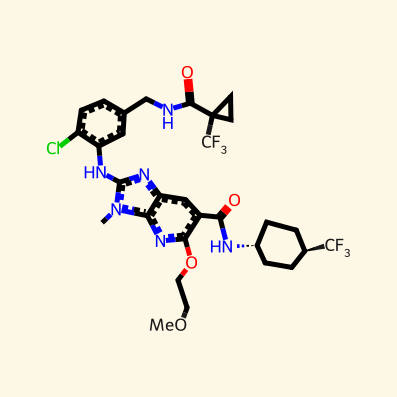 COCCOc1nc2c(cc1C(=O)N[C@H]1CC[C@H](C(F)(F)F)CC1)nc(Nc1cc(CNC(=O)C3(C(F)(F)F)CC3)ccc1Cl)n2C